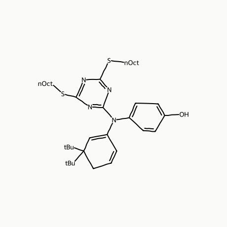 CCCCCCCCSc1nc(SCCCCCCCC)nc(N(C2=CC(C(C)(C)C)(C(C)(C)C)CC=C2)c2ccc(O)cc2)n1